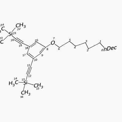 CCCCCCCCCCCCCCCCOc1cc(C#C[Si](C)(C)C)cc(C#C[Si](C)(C)C)c1